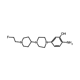 Nc1ccc(N2CCN(C3CCN(CCF)CC3)CC2)cc1O